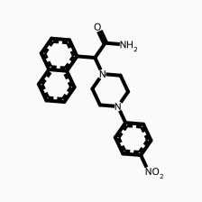 NC(=O)C(c1cccc2ccccc12)N1CCN(c2ccc([N+](=O)[O-])cc2)CC1